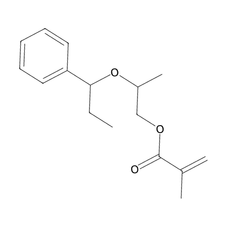 C=C(C)C(=O)OCC(C)OC(CC)c1ccccc1